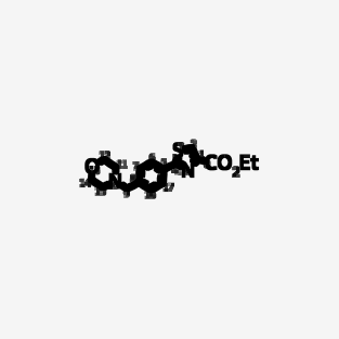 CCOC(=O)c1csc(-c2ccc(CN3CCOCC3)cc2)n1